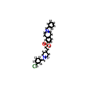 O=S(=O)(CCC1CCN(Cc2cccc(Cl)c2)CC1)c1ccc2c(c1)CCN(Cc1ccccc1)CC2